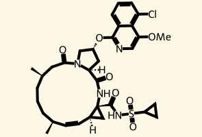 COc1cnc(O[C@@H]2C[C@H]3C(=O)N[C@]4(C(=O)NS(=O)(=O)C5CC5)C[C@H]4/C=C\[C@@H](C)CCC[C@@H](C)CC(=O)N3C2)c2cccc(Cl)c12